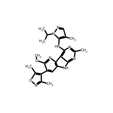 COc1nc2c(cc1-c1c(C)noc1C)[nH]c1nc(C)nc(Nc3c(C)cnn3C(C)C)c12